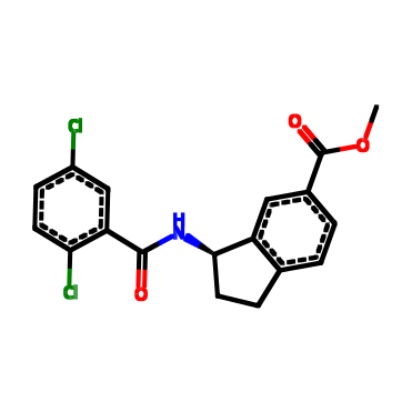 COC(=O)c1ccc2c(c1)[C@H](NC(=O)c1cc(Cl)ccc1Cl)CC2